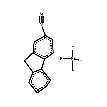 F[B-](F)(F)F.N#[N+]c1ccc2c(c1)Cc1ccccc1-2